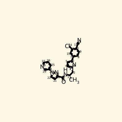 C[C@@H](Cn1ccc(-c2ccc(C#N)c(Cl)c2)n1)NC(=O)c1ccn(-c2cccnc2)n1